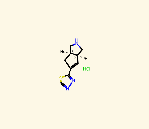 C1=C(c2nncs2)C[C@H]2CNC[C@@H]12.Cl